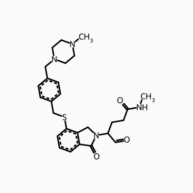 CNC(=O)CCC(C=O)N1Cc2c(SCc3ccc(CN4CCN(C)CC4)cc3)cccc2C1=O